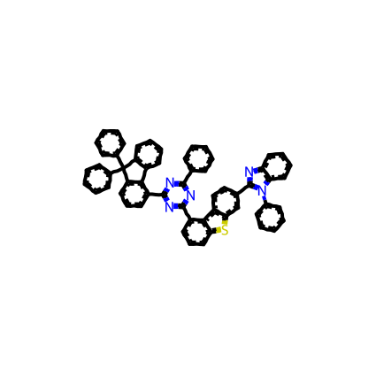 c1ccc(-c2nc(-c3cccc4c3-c3ccccc3C4(c3ccccc3)c3ccccc3)nc(-c3cccc4sc5cc(-c6nc7ccccc7n6-c6ccccc6)ccc5c34)n2)cc1